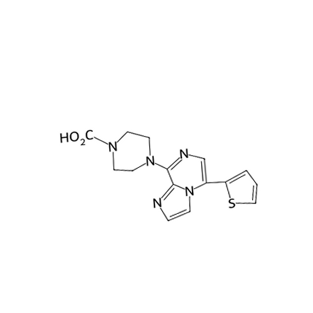 O=C(O)N1CCN(c2ncc(-c3cccs3)n3ccnc23)CC1